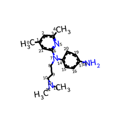 Cc1cc(C)nc(N(CCCN(C)C)c2ccc(N)cc2)c1